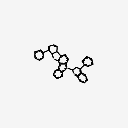 C1=CC2c3ccc4c(c3SC2C(c2ccccc2)=C1)c1ccccc1n4C1CC(c2ccccc2)=c2ccccc2=N1